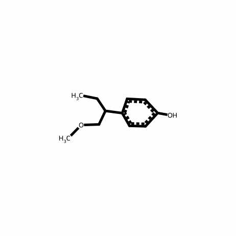 CCC(COC)c1ccc(O)cc1